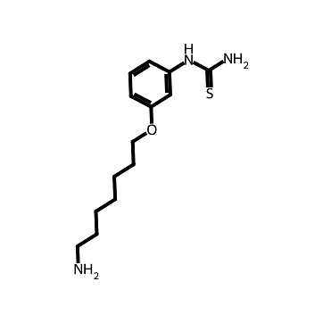 NCCCCCCCOc1cccc(NC(N)=S)c1